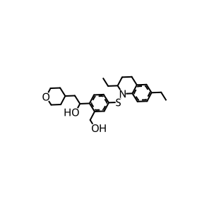 CCc1ccc2c(c1)CCC(CC)N2Sc1ccc(C(O)CC2CCOCC2)c(CO)c1